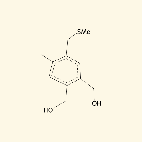 CSCc1cc(CO)c(CO)cc1C